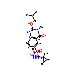 CC(C)COc1nc2ccc(S(=O)(=O)NC3(C)CC3)cc2c(=O)n1C